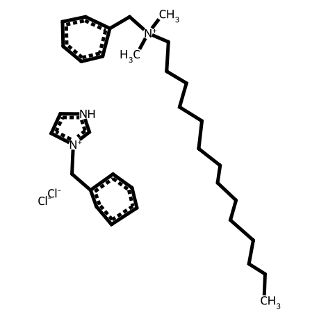 CCCCCCCCCCCCCC[N+](C)(C)Cc1ccccc1.[Cl-].[Cl-].c1ccc(C[n+]2cc[nH]c2)cc1